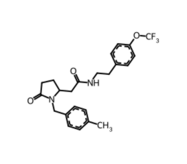 Cc1ccc(CN2C(=O)CCC2CC(=O)NCCc2ccc(OC(F)(F)F)cc2)cc1